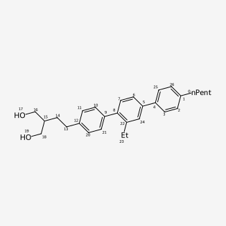 CCCCCc1ccc(-c2ccc(-c3ccc(CCC(CO)CO)cc3)c(CC)c2)cc1